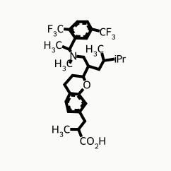 CC(Cc1ccc2c(c1)OC(C(CC(C)C(C)C)CN(C)C(C)c1cc(C(F)(F)F)ccc1C(F)(F)F)CC2)C(=O)O